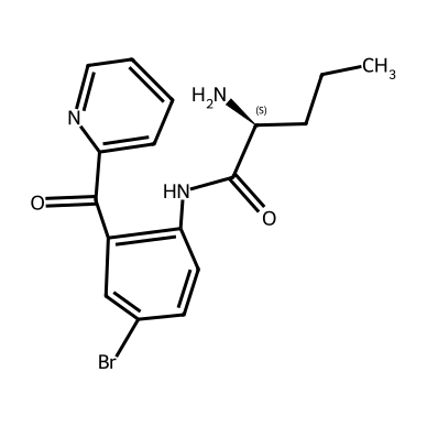 CCC[C@H](N)C(=O)Nc1ccc(Br)cc1C(=O)c1ccccn1